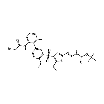 COc1ccc(-c2c(C)cccc2NC(=O)CBr)cc1S(=O)(=O)c1cc(N=CNC(=O)OC(C)(C)C)sc1SC